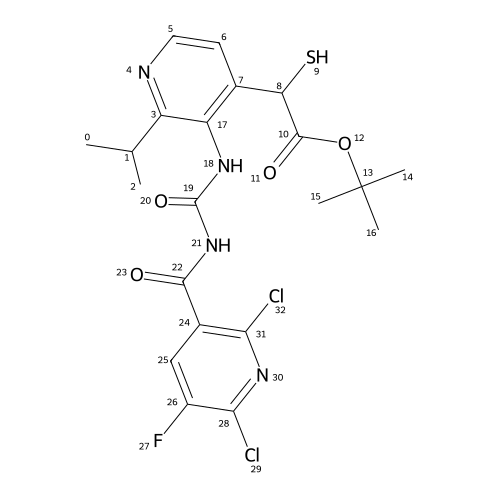 CC(C)c1nccc(C(S)C(=O)OC(C)(C)C)c1NC(=O)NC(=O)c1cc(F)c(Cl)nc1Cl